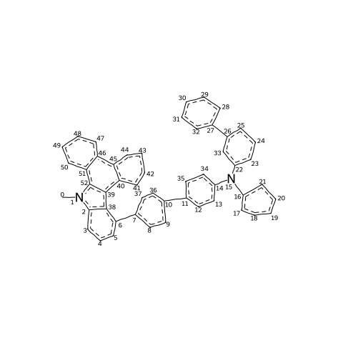 Cn1c2cccc(-c3ccc(-c4ccc(N(c5ccccc5)c5cccc(-c6ccccc6)c5)cc4)cc3)c2c2c3ccccc3c3ccccc3c21